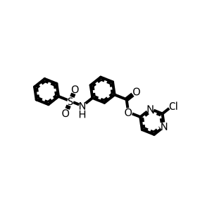 O=C(Oc1ccnc(Cl)n1)c1cccc(NS(=O)(=O)c2ccccc2)c1